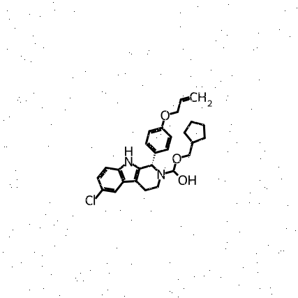 C=CCOc1ccc([C@H]2c3[nH]c4ccc(Cl)cc4c3CCN2C(O)OCC2CCCC2)cc1